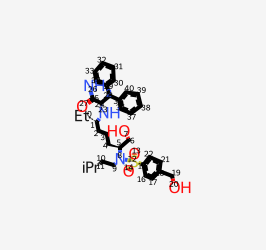 CC[C@@H](CCC[C@@H](CO)N(CCC(C)C)S(=O)(=O)c1ccc(CO)cc1)N[C@H](C(N)=O)C(c1ccccc1)c1ccccc1